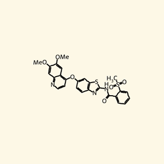 COc1cc2nccc(Oc3ccc4nc(NC(=O)c5ccccc5S(C)(=O)=O)sc4c3)c2cc1OC